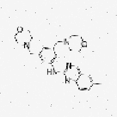 Cc1ccc2nc(Nc3cc(CN4CCOCC4)cc(CN4CCOCC4)c3)ncc2c1